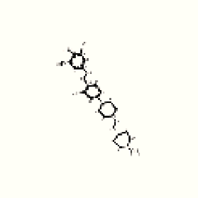 C[C@H]1CC[C@H](CC[C@H]2CC[C@H](c3ccc(CCc4cc(F)c(Cl)c(F)c4)c(F)c3)CC2)CC1